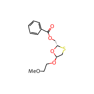 COCCO[C@@H]1CS[C@@H](COC(=O)c2ccccc2)O1